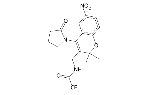 CC1(C)Oc2ccc([N+](=O)[O-])cc2C(N2CCCC2=O)=C1CNC(=O)C(F)(F)F